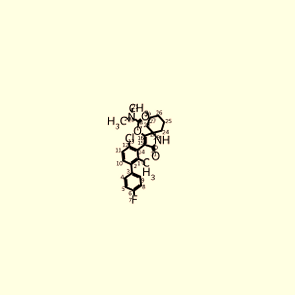 Cc1c(-c2ccc(F)cc2)ccc(Cl)c1C1=C(OC(=O)N(C)C)C2(CCCCC2)NC1=O